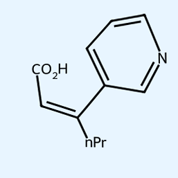 CCC/C(=C/C(=O)O)c1cccnc1